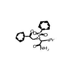 CC(C)C(C(N)=O)N(CC(=O)c1ccccc1)S(=O)(=O)c1ccccc1